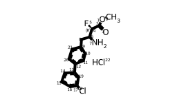 COC(=O)[C@H](F)C(N)Cc1ccc(-c2cccc(Cl)c2)cc1.Cl